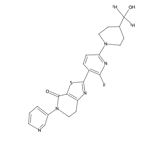 [2H]C([2H])(O)C1CCN(c2ccc(-c3nc4c(s3)C(=O)N(c3cccnc3)CC4)c(F)n2)CC1